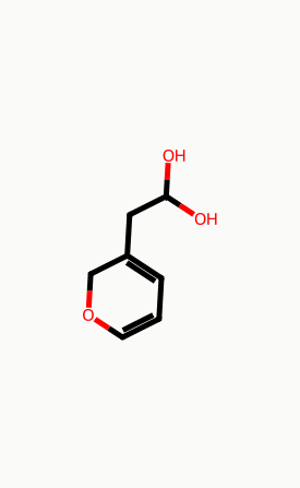 O[C](O)CC1=CC=COC1